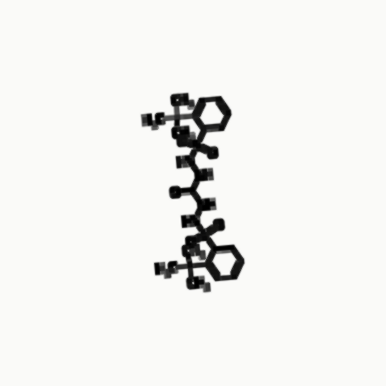 CC(C)(C)c1ccccc1S(=O)(=O)NNC(=O)NNS(=O)(=O)c1ccccc1C(C)(C)C